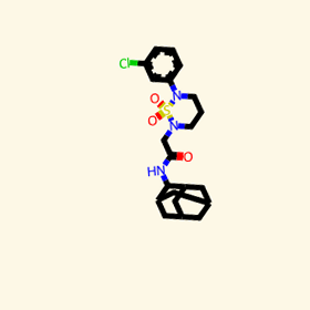 O=C(CN1CCCN(c2cccc(Cl)c2)S1(=O)=O)NC1C2CC3CC(C2)CC1C3